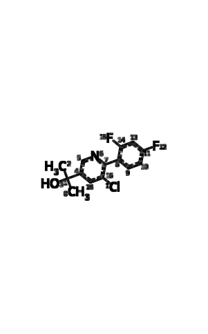 CC(C)(O)c1cnc(-c2ccc(F)cc2F)c(Cl)c1